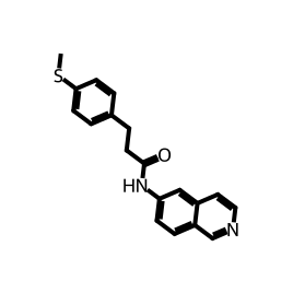 CSc1ccc(CCC(=O)Nc2ccc3cnccc3c2)cc1